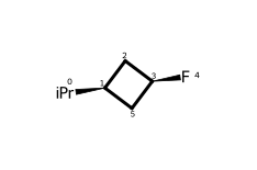 CC(C)[C@H]1C[C@@H](F)C1